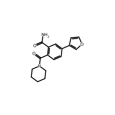 NC(=O)c1cc(-c2ccoc2)ccc1C(=O)N1CCCCC1